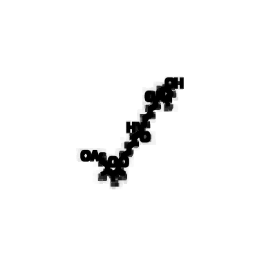 CC(=O)OCC1O[C@@H](OCCCCCC(=O)NCCCCCC(=O)N2C[C@H](O)C[C@H]2C)C(C)[C@@H](C)[C@H]1C